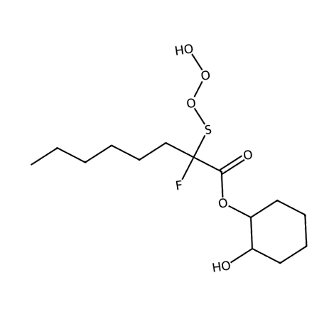 CCCCCCC(F)(SOOO)C(=O)OC1CCCCC1O